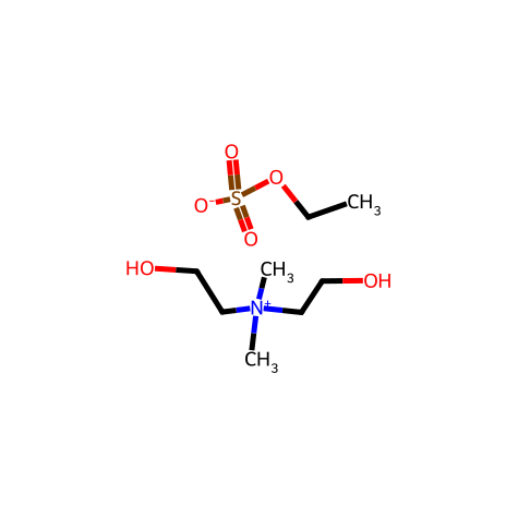 CCOS(=O)(=O)[O-].C[N+](C)(CCO)CCO